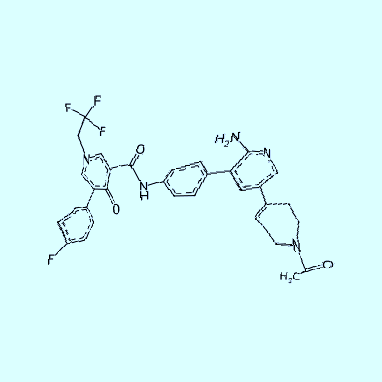 CC(=O)N1CC=C(c2cnc(N)c(-c3ccc(NC(=O)c4cn(CC(F)(F)F)cc(-c5ccc(F)cc5)c4=O)cc3)c2)CC1